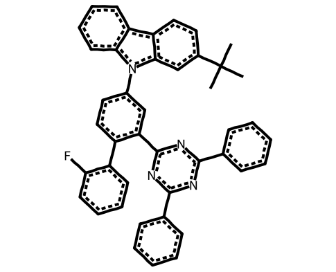 CC(C)(C)c1ccc2c3ccccc3n(-c3ccc(-c4ccccc4F)c(-c4nc(-c5ccccc5)nc(-c5ccccc5)n4)c3)c2c1